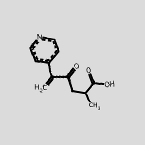 C=C(C(=O)CC(C)C(=O)O)c1ccncc1